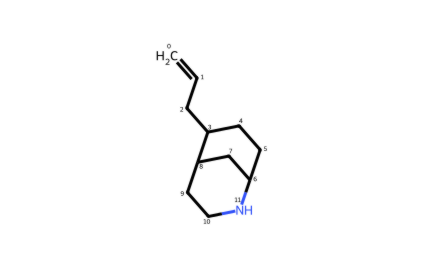 C=CCC1CCC2CC1CCN2